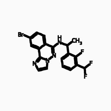 CC(Nc1nn2ccnc2c2cc(Br)ccc12)c1cccc(C(F)F)c1F